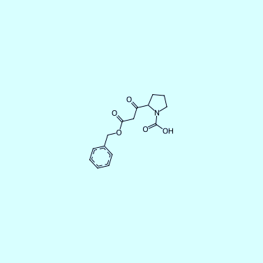 O=C(CC(=O)C1CCCN1C(=O)O)OCc1ccccc1